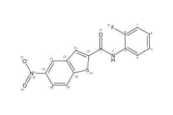 O=C(Nc1ccccc1F)c1cc2cc([N+](=O)[O-])ccc2s1